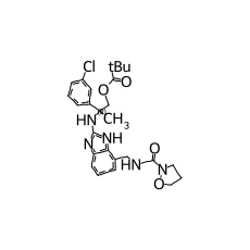 CC(C)(C)C(=O)OC[C@](C)(Nc1nc2cccc(CNC(=O)N3CCCO3)c2[nH]1)c1cccc(Cl)c1